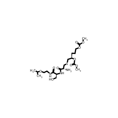 COC(=O)OCCC[C@H](CSC[C@H](N)C(=O)N[C@@H](CO)C(=O)NCCOC(C)C)OC(=O)OC